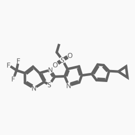 CCS(=O)(=O)c1cc(-c2ccc(C3CC3)cc2)cnc1-c1nc2cc(C(F)(F)F)cnc2s1